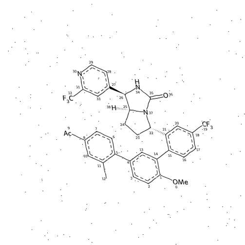 COc1ccc(-c2ccc(C(C)=O)cc2C)cc1-c1ccc(C(F)(F)F)cc1[C@@H]1CC[C@H]2[C@@H](c3ccnc(C(F)(F)F)c3)NC(=O)N12